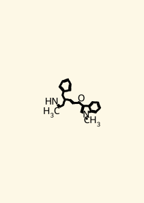 CC(=N)CC(C=CC(=O)c1cn(C)c2ccccc12)Cc1ccccc1